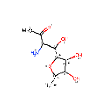 COC(=O)C(N)C(O)[C@H]1O[C@@H](C)C(O)[C@@H]1O